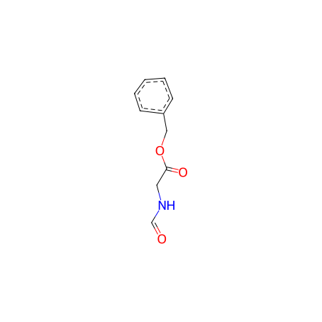 O=CNCC(=O)OCc1ccccc1